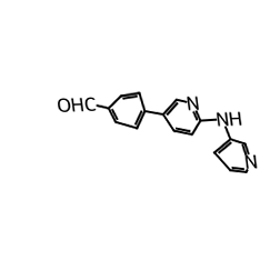 O=Cc1ccc(-c2ccc(Nc3cccnc3)nc2)cc1